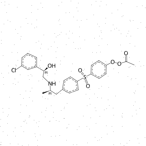 CC(=O)OOc1ccc(S(=O)(=O)c2ccc(C[C@@H](C)NC[C@H](O)c3cccc(Cl)c3)cc2)cc1